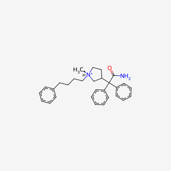 C[N@@+]1(CCCCc2ccccc2)CCC(C(C(N)=O)(c2ccccc2)c2ccccc2)C1